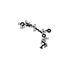 Cn1ncc(-c2nc(NC3CCC(N(CCCCCCNC(=O)NCc4cc5c(s4)C(=O)N(C4CCC(=O)NC4=O)C5)C(=O)OCc4ccccc4)CC3)ncc2F)c1CC1CC1